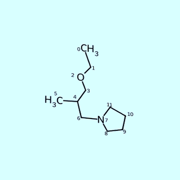 CCOCC(C)CN1CCCC1